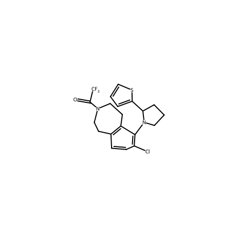 O=C(N1CCc2ccc(Cl)c(N3CCCC3c3cccs3)c2CC1)C(F)(F)F